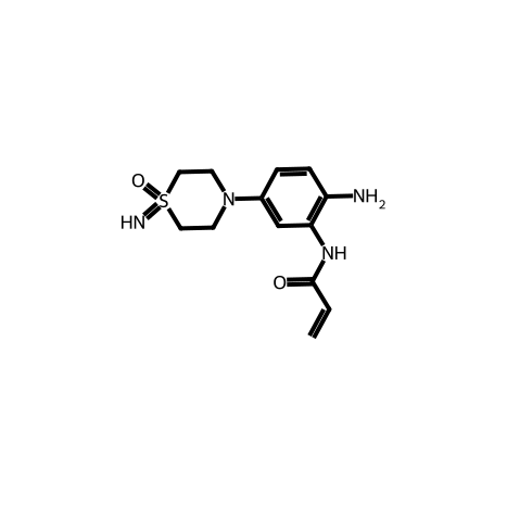 C=CC(=O)Nc1cc(N2CCS(=N)(=O)CC2)ccc1N